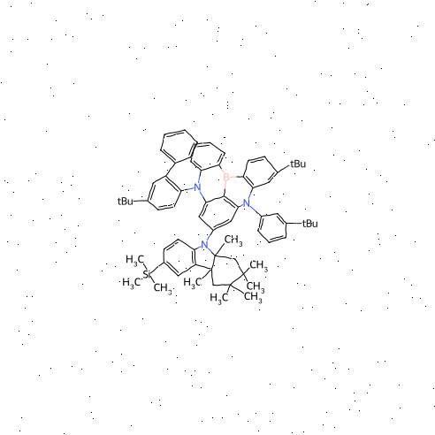 CC(C)(C)c1cccc(N2c3cc(C(C)(C)C)ccc3B3c4ccccc4N(c4ccc(C(C)(C)C)cc4-c4ccccc4)c4cc(N5c6ccc([Si](C)(C)C)cc6C6(C)CC(C)(C)C(C)(C)CC56C)cc2c43)c1